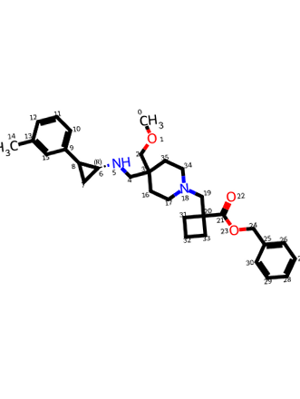 COCC1(CN[C@@H]2CC2c2cccc(C)c2)CCN(CC2(C(=O)OCc3ccccc3)CCC2)CC1